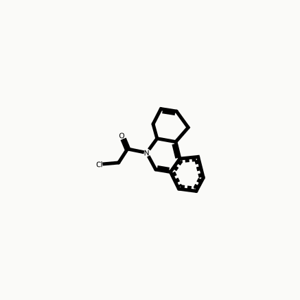 O=C(CCl)N1C=c2ccccc2=C2CC=CCC21